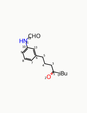 CCC(C)C(=O)CCCc1cccc(NC=O)c1